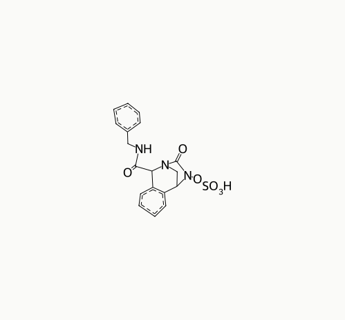 O=C(NCc1ccccc1)C1c2ccccc2C2CN1C(=O)N2OS(=O)(=O)O